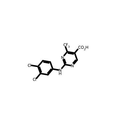 O=C(O)c1cnc(Nc2ccc(Cl)c(Cl)c2)nc1C(F)(F)F